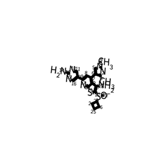 Cc1nn(C)cc1-c1cc(-c2cnc(N)nc2)nc2sc([S+]([O-])C3CCC3)c(N)c12